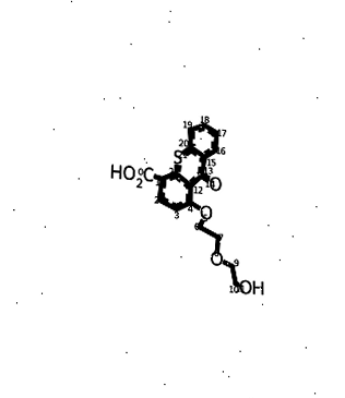 O=C(O)c1ccc(OCCOCCO)c2c(=O)c3ccccc3sc12